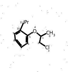 CC(CCl)Oc1ccccc1C(C)C